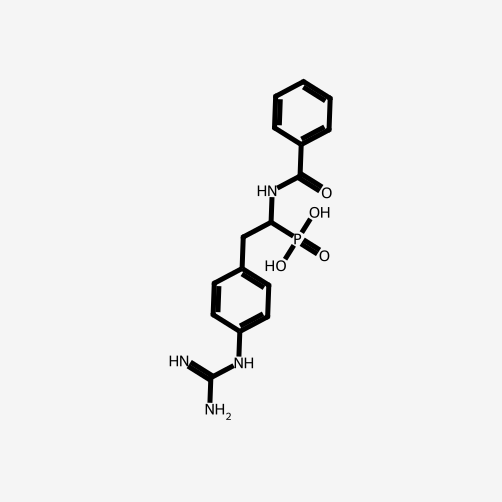 N=C(N)Nc1ccc(CC(NC(=O)c2ccccc2)P(=O)(O)O)cc1